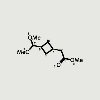 COC(=O)C[C@H]1C[C@@H](C(OC)OC)C1